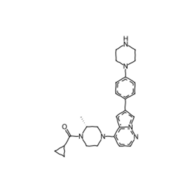 C[C@@H]1CN(c2ccnn3cc(-c4ccc(N5CCNCC5)cc4)cc23)CCN1C(=O)C1CC1